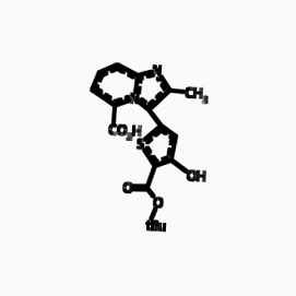 Cc1nc2cccc(C(=O)O)n2c1-c1cc(O)c(C(=O)OC(C)(C)C)s1